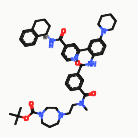 CN(CCN1CCCN(C(=O)OC(C)(C)C)CC1)C(=O)c1cccc(C(=O)Nc2ccc(N3CCCCC3)cc2-c2cc(C(=O)N[C@H]3CCCc4ccccc43)ccn2)c1